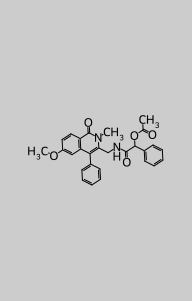 COc1ccc2c(=O)n(C)c(CNC(=O)C(OC(C)=O)c3ccccc3)c(-c3ccccc3)c2c1